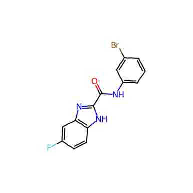 O=C(Nc1cccc(Br)c1)c1nc2cc(F)ccc2[nH]1